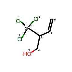 C=CC(CO)[Si](Cl)(Cl)Cl